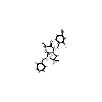 CNC(=O)[C@H](Cc1ccc(Br)cc1F)N(CC(C)(C)C)C(=O)OCc1ccccc1